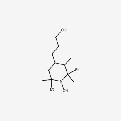 CCC1(C)CC(CCCO)C(C)C(C)(CC)N1O